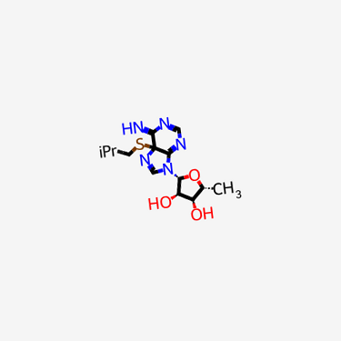 CC(C)CSC12N=CN([C@@H]3O[C@H](C)[C@@H](O)[C@H]3O)C1=NC=NC2=N